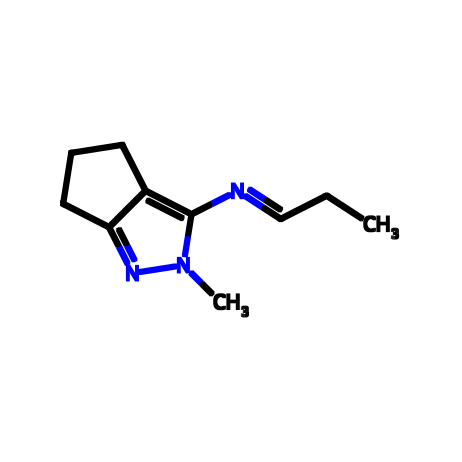 CC/C=N/c1c2c(nn1C)CCC2